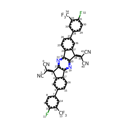 N#CC(C#N)=C1c2cc(-c3ccc(F)c(C(F)(F)F)c3)ccc2-c2nc3c(nc21)-c1ccc(-c2ccc(F)c(C(F)(F)F)c2)cc1C3=C(C#N)C#N